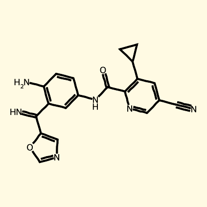 N#Cc1cnc(C(=O)Nc2ccc(N)c(C(=N)c3cnco3)c2)c(C2CC2)c1